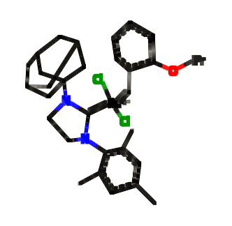 Cc1cc(C)c(N2CCN(C34CC5CC(CC(C5)C3)C4)[C]2=[Ru-4]([Cl])([Cl])=[CH]c2ccccc2OC(C)C)c(C)c1